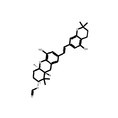 CC1(C)CCc2c(O)cc(/C=C/c3cc(O)c4c(c3)C[C@@H]3C(C)(C)[C@H](OC=O)CC[C@@]3(C)O4)cc2O1